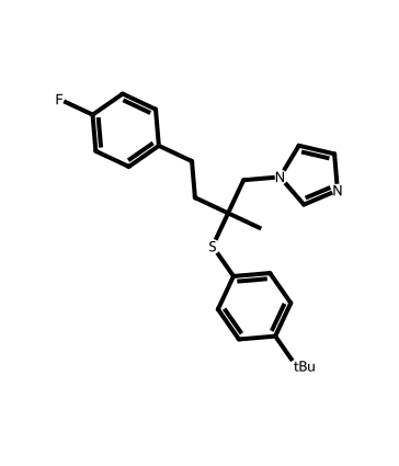 CC(CCc1ccc(F)cc1)(Cn1ccnc1)Sc1ccc(C(C)(C)C)cc1